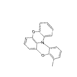 Cc1cccc2c1Oc1cccc3c1N2c1ccccc1O3